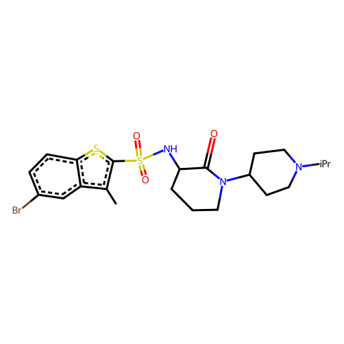 Cc1c(S(=O)(=O)NC2CCCN(C3CCN(C(C)C)CC3)C2=O)sc2ccc(Br)cc12